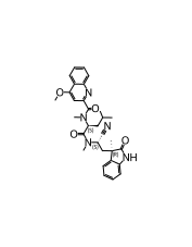 COc1cc(C(=O)N(C)[C@@H](CC(C)C)C(=O)N(C)[C@H](C#N)C[C@@]2(C)C(=O)Nc3ccccc32)nc2ccccc12